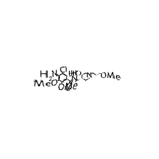 COCCCN1CC[C@H](CNC(=O)c2cc(Cl)c(N)c(OC)c2OC)[C@@H](O)C1